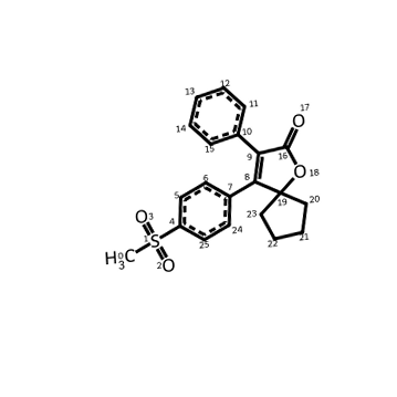 CS(=O)(=O)c1ccc(C2=C(c3ccccc3)C(=O)OC23CCCC3)cc1